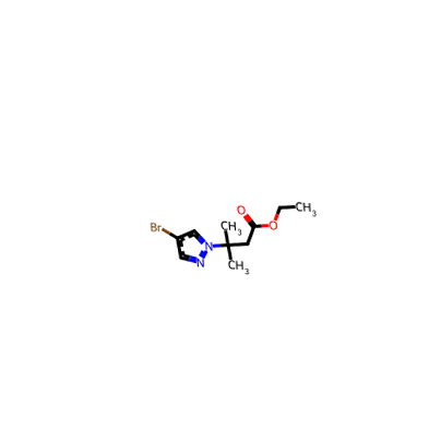 CCOC(=O)CC(C)(C)n1cc(Br)cn1